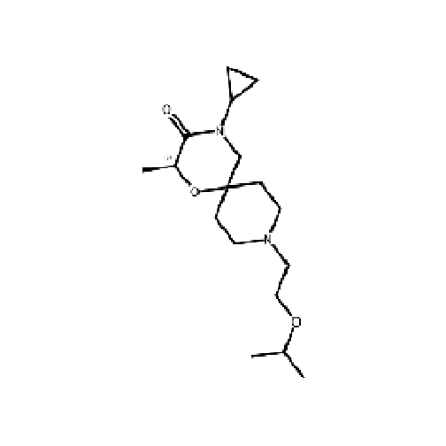 CC(C)OCCN1CCC2(CC1)CN(C1CC1)C(=O)[C@H](C)O2